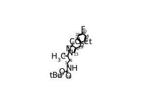 CCOC(=O)c1nn(C(C)CCNC(=O)OC(C)(C)C)cc1Cc1ccc(F)cc1